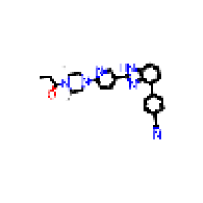 CCC(=O)N1[C@H](C)CN(c2ccc(-c3nc4c(-c5ccc(C#N)cc5)cccc4[nH]3)cn2)C[C@@H]1C